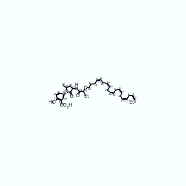 CC/C=C\C/C=C\C/C=C\C/C=C\C/C=C\C/C=C\CCCOC(CC)C(=O)NC1CC(C)N(c2ccc(O)c(C(=O)O)c2)C1=O